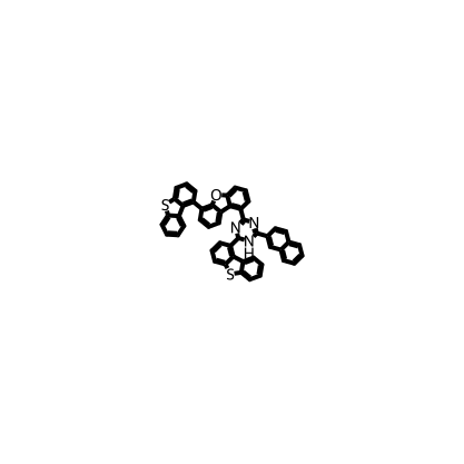 c1ccc2cc(C3=NC(c4cccc5oc6c(-c7cccc8sc9ccccc9c78)cccc6c45)=NC(c4cccc5sc6ccccc6c45)N3)ccc2c1